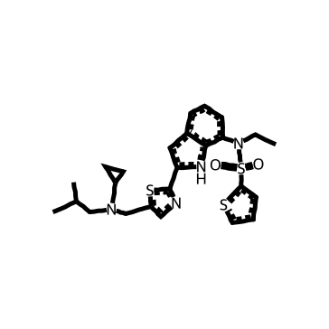 CCN(c1cccc2cc(-c3ncc(CN(CC(C)C)C4CC4)s3)[nH]c12)S(=O)(=O)c1cccs1